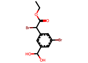 CCOC(=O)C(Br)c1cc(Br)cc(C(O)O)c1